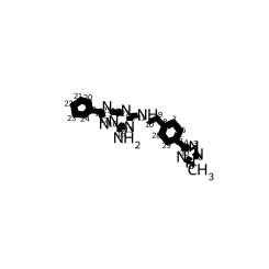 Cn1nnc(-c2ccc(CCNc3nc(N)n4nc(-c5ccccc5)nc4n3)cc2)n1